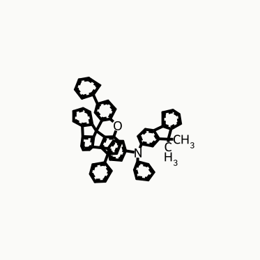 CC1(C)c2ccccc2-c2ccc(N(c3ccccc3)c3ccc(-c4cccc5c4C4(c6cc(-c7ccccc7)ccc6Oc6ccc(-c7ccccc7)cc64)c4ccccc4-5)cc3)cc21